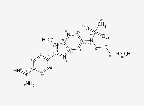 Cn1c(-c2ccc(C(=N)N)cc2)nc2cc(N(CCCC(=O)O)S(C)(=O)=O)cnc21